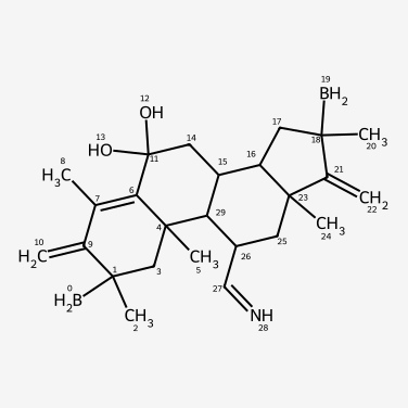 BC1(C)CC2(C)C(=C(C)C1=C)C(O)(O)CC1C3CC(B)(C)C(=C)C3(C)CC(C=N)C12